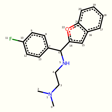 CN(C)CCNC(c1ccc(F)cc1)c1cc2ccccc2o1